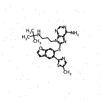 Cc1cnc(-c2cc3ccoc3cc2Sc2nc3c(N)ncnc3n2CCCNC(C)(C)C)s1